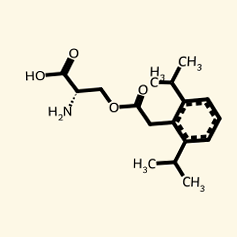 CC(C)c1cccc(C(C)C)c1CC(=O)OC[C@H](N)C(=O)O